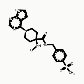 CS(=O)(=O)c1ccc(CNC(=O)C2(NCl)CCN(c3ncnc4[nH]ccc34)CC2)cc1